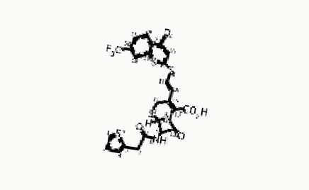 O=C(Cc1cccs1)NC1C(=O)N2C(C(=O)O)=C(C=CSc3cc(=O)c4ccc(C(F)(F)F)cc4s3)CS[C@@H]12